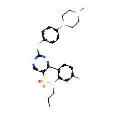 CCCN1c2cc(Br)ccc2-c2nc(Nc3ccc(N4CCN(C)CC4)cc3)ncc2S1(=O)=O